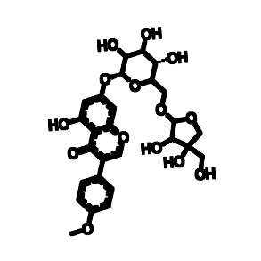 COc1ccc(-c2coc3cc(O[C@@H]4OC(COC5OCC(O)(CO)C5O)[C@@H](O)C(O)C4O)cc(O)c3c2=O)cc1